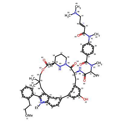 CCn1c(-c2ccccc2CCOC)c2c3cc(ccc31)-c1cc(O)cc(c1)C[C@H](NC(=O)C(C(C)C)N(C)C(=O)c1ccc(N(C)C(=O)/C=C/CN(C)C)cc1)C(=O)N1CCC[C@H](N1)C(=O)OCC(C)(C)C2